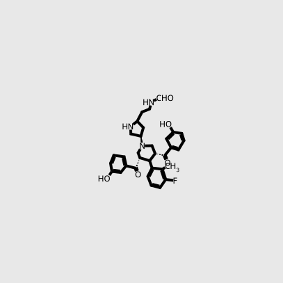 Cc1c(F)cccc1C1[C@@H](C(=O)c2cccc(O)c2)CN([C@H]2CNC(CCNC=O)C2)C[C@H]1C(=O)c1cccc(O)c1